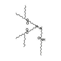 CCCCCCCCCCNC(=O)CCCCCN(C)CCN(CCCCCC(=O)OCC(CCCCCC)CCCCCCCC)CCCCCC(=O)OCC(CCCCCC)CCCCCCCC